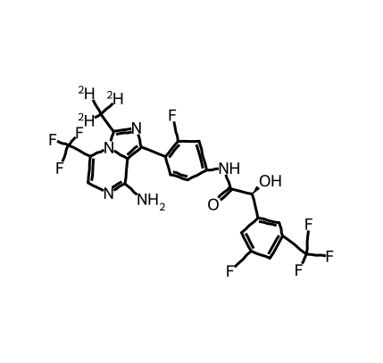 [2H]C([2H])([2H])c1nc(-c2ccc(NC(=O)[C@@H](O)c3cc(F)cc(C(F)(F)F)c3)cc2F)c2c(N)ncc(C(F)(F)F)n12